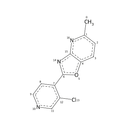 Cc1ccc2oc(-c3ccncc3Cl)nc2n1